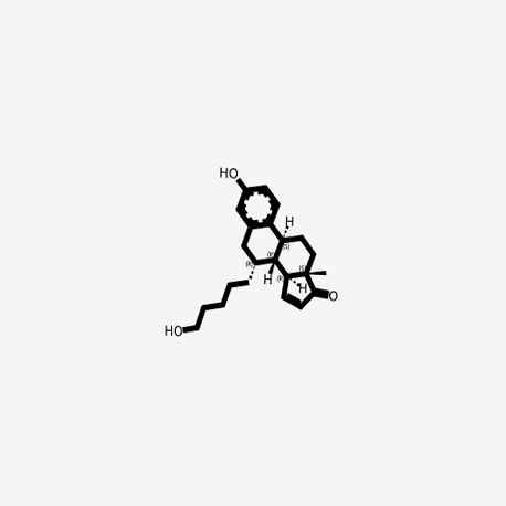 C[C@]12CC[C@@H]3c4ccc(O)cc4C[C@@H](CCCCCO)[C@H]3[C@@H]1C=CC2=O